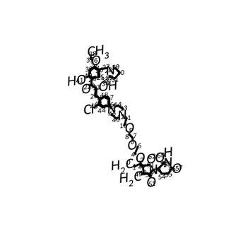 C=C/C(OCCOCCOCCN1CCN(c2ccc(/C=C/C(=O)c3cc(CN4CCC[C@@H]4CO)c(OCC)cc3O)c(Cl)c2)CC1)=C1\C(=C)C(=O)N(C2CCC(=O)NC2=O)C1=O